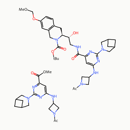 COC(=O)c1cc(NC2CN(C(C)=O)C2)nc(N2CC3CC(C3)C2)n1.COCOc1ccc2c(c1)CN(C(=O)OC(C)(C)C)[C@H]([C@H](O)CNC(=O)c1cc(NC3CN(C(C)=O)C3)nc(N3CC4CC(C4)C3)n1)C2